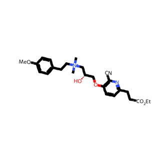 CCOC(=O)CCc1ccc(OC[C@H](O)C[N+](C)(C)CCc2ccc(OC)cc2)c(C#N)n1